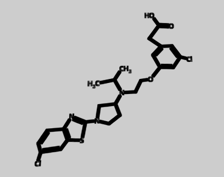 CC(C)N(CCOc1cc(Cl)cc(CC(=O)O)c1)C1CCN(c2nc3ccc(Cl)cc3s2)C1